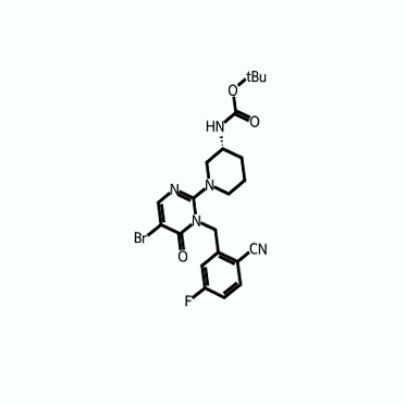 CC(C)(C)OC(=O)N[C@@H]1CCCN(c2ncc(Br)c(=O)n2Cc2cc(F)ccc2C#N)C1